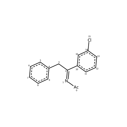 CC(=O)N=C(Cc1ccccc1)c1cccc(Cl)c1